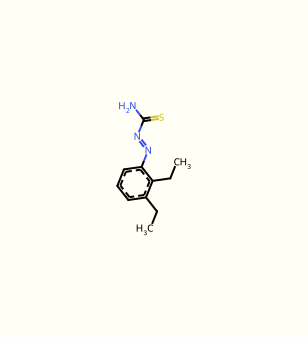 CCc1cccc(N=NC(N)=S)c1CC